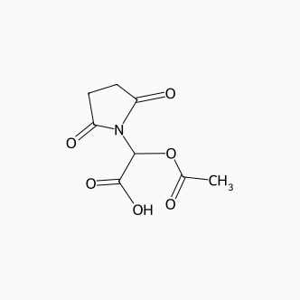 CC(=O)OC(C(=O)O)N1C(=O)CCC1=O